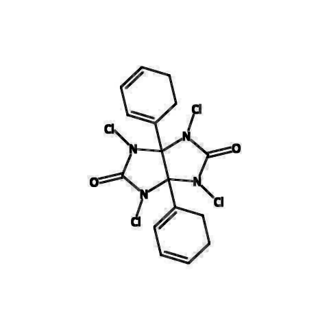 O=C1N(Cl)C2(C3=CC=CCC3)N(Cl)C(=O)N(Cl)C2(C2=CC=CCC2)N1Cl